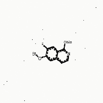 CCOc1cc2ccnc(OC)c2cc1F